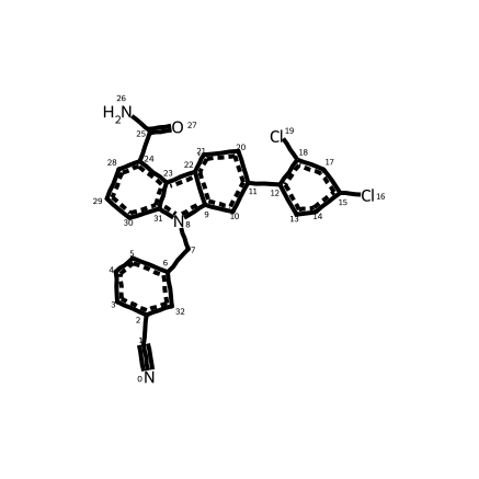 N#Cc1cccc(Cn2c3cc(-c4ccc(Cl)cc4Cl)c[c]c3c3c(C(N)=O)cccc32)c1